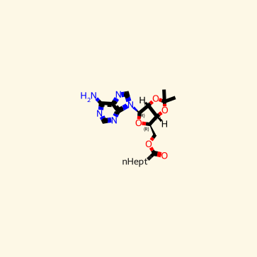 CCCCCCCC(=O)OC[C@H]1O[C@@H](n2cnc3c(N)ncnc32)[C@@H]2OC(C)(C)O[C@@H]21